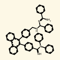 N=C(c1ccc(-c2c(-c3ccc(CNC(/N=C(\N)c4ccccc4)c4ccccc4)cc3)c3ccccc3c3ccccc23)cc1)N(c1ccccc1)c1ccccc1